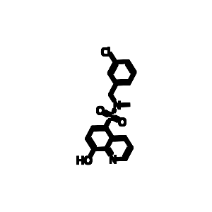 CN(Cc1cccc(Cl)c1)S(=O)(=O)c1ccc(O)c2ncccc12